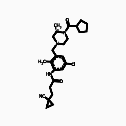 Cc1c(CN2CCN(C(=O)C3CCCC3)[C@@H](C)C2)cc(Cl)cc1NC(=O)CCC1(C#N)CC1